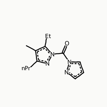 CCCc1nn(C(=O)n2cccn2)c(CC)c1C